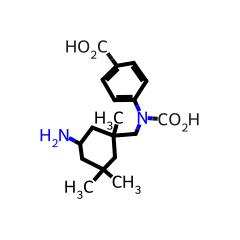 CC1(C)CC(N)CC(C)(CN(C(=O)O)c2ccc(C(=O)O)cc2)C1